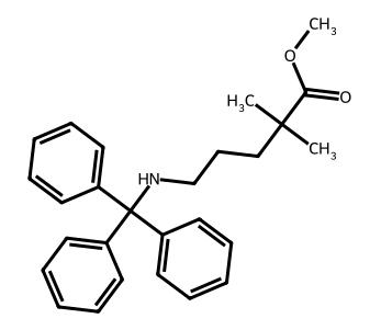 COC(=O)C(C)(C)CCCNC(c1ccccc1)(c1ccccc1)c1ccccc1